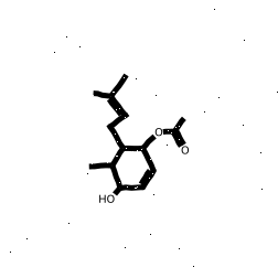 CC(=O)OC1C=CC(O)C(C)C1CC=C(C)C